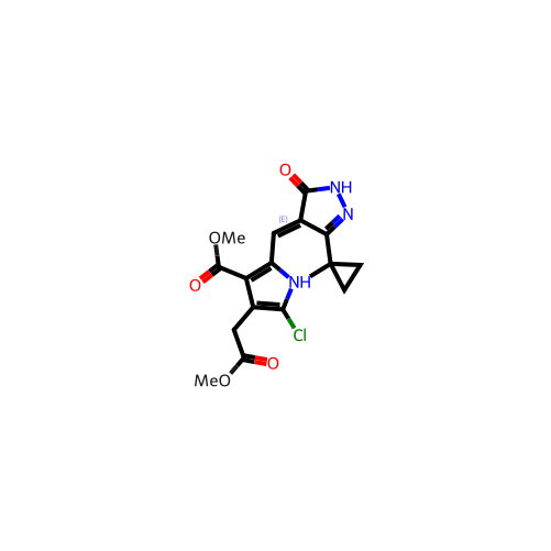 COC(=O)Cc1c(Cl)[nH]c(/C=C2/C(=O)NN=C2C2(C)CC2)c1C(=O)OC